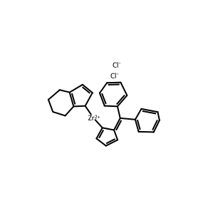 C1=CC(=C(c2ccccc2)c2ccccc2)[C]([Zr+2][CH]2C=CC3=C2CCCC3)=C1.[Cl-].[Cl-]